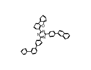 c1ccc(-c2cccc(-c3ccc(-c4nc(-c5ccc(-c6ccc7ccccc7c6)cc5)nc(-c5cccc6c5oc5ccccc56)n4)cc3)c2)cc1